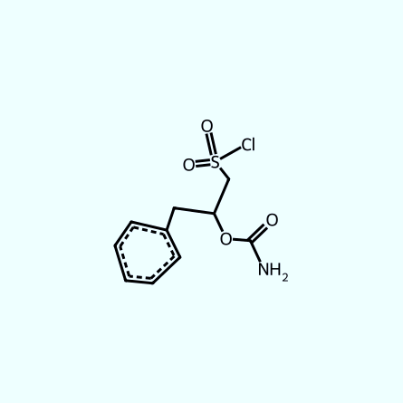 NC(=O)OC(Cc1ccccc1)CS(=O)(=O)Cl